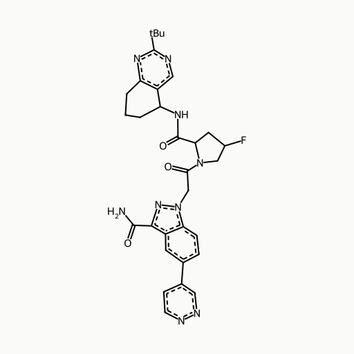 CC(C)(C)c1ncc2c(n1)CCCC2NC(=O)C1CC(F)CN1C(=O)Cn1nc(C(N)=O)c2cc(-c3ccnnc3)ccc21